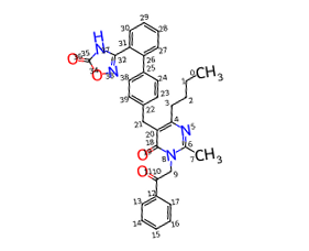 CCCCc1nc(C)n(CC(=O)c2ccccc2)c(=O)c1Cc1ccc(-c2ccccc2-c2noc(=O)[nH]2)cc1